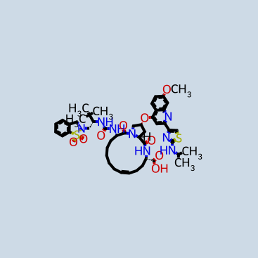 COc1ccc2c(O[C@@H]3C[C@H]4C(=O)N[C@H](C(=O)O)CC/C=C\CCCCC[C@H](NC(=O)N[C@H](CN5Cc6ccccc6S5(=O)=O)C(C)(C)C)C(=O)N4C3)cc(-c3csc(NC(C)C)n3)nc2c1